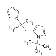 CC(C)(C)n1nccc1CC(C)(C)n1cccc1